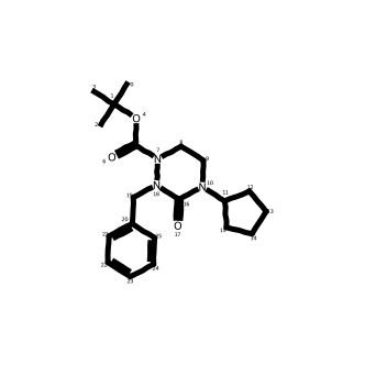 CC(C)(C)OC(=O)N1CCN(C2CCCC2)C(=O)N1Cc1ccccc1